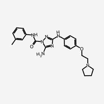 Cc1cccc(NC(=O)n2nc(Nc3ccc(OCCN4CCCC4)cc3)nc2N)c1